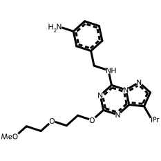 COCCOCCOc1nc(NCc2cccc(N)c2)n2ncc(C(C)C)c2n1